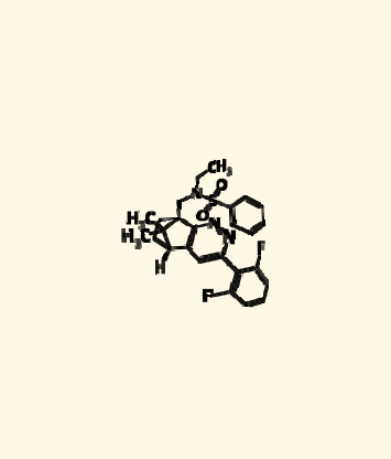 CCN(C[C@@]12CC[C@@H](c3cc(-c4c(F)cccc4F)nnc31)C2(C)C)S(=O)(=O)c1ccccc1